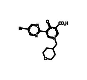 O=C(O)c1cn(CC2CCOCC2)cc(-c2ncc(Br)cn2)c1=O